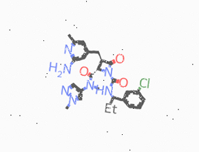 CCC(NC(=O)N1C(=O)[C@H](Cc2cc(C)nc(N)c2)[C@H]1C(=O)N(C)c1cnn(C)c1)c1cccc(Cl)c1